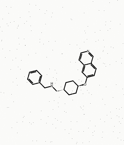 c1ccc(CNC[C@H]2CC[C@H](Oc3ccc4cnccc4c3)CC2)cc1